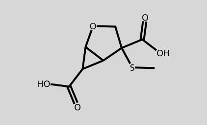 CSC1(C(=O)O)COC2C(C(=O)O)C21